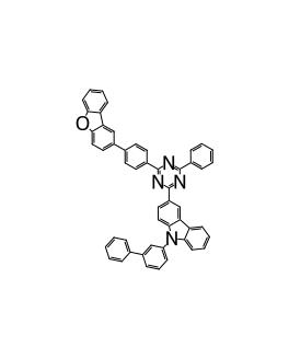 c1ccc(-c2cccc(-n3c4ccccc4c4cc(-c5nc(-c6ccccc6)nc(-c6ccc(-c7ccc8oc9ccccc9c8c7)cc6)n5)ccc43)c2)cc1